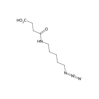 [N-]=[N+]=NCCCCCNC(=O)CCC(=O)O